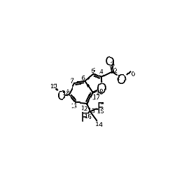 COC(=O)c1cc2cc(OC)cc(C(C)(F)F)c2o1